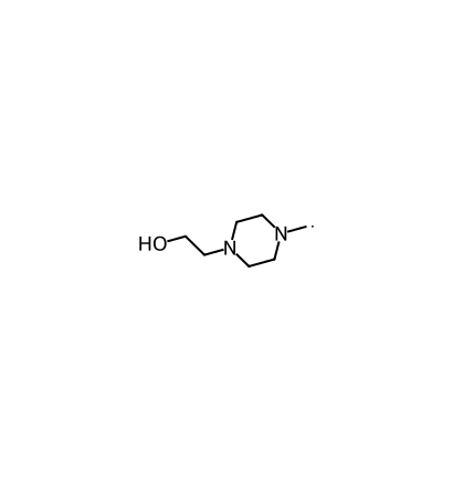 [CH2]N1CCN(CCO)CC1